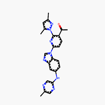 CC(=O)c1ccc(-n2cnc3cc(Nc4cnc(C)cn4)ccc32)nc1-n1nc(C)cc1C